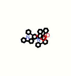 c1ccc(N(c2ccc(-c3ccccc3-n3c4ccccc4c4ccccc43)cc2)c2ccc3oc4ccccc4c3c2)c(-c2cccc3oc4c5ccccc5ccc4c23)c1